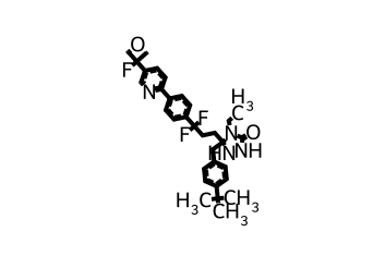 CCN1C(=O)NNC1(CCC(F)(F)c1ccc(-c2ccc(C3(F)COC3)cn2)cc1)Cc1ccc(C(C)(C)C)cc1